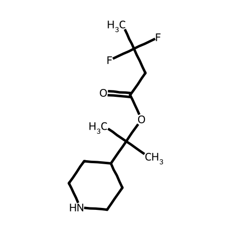 CC(F)(F)CC(=O)OC(C)(C)C1CCNCC1